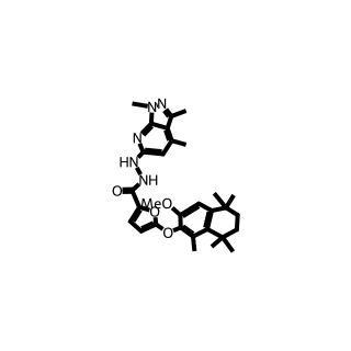 COc1cc2c(c(C)c1Oc1ccc(C(=O)NNc3cc(C)c4c(C)nn(C)c4n3)o1)C(C)(C)CCC2(C)C